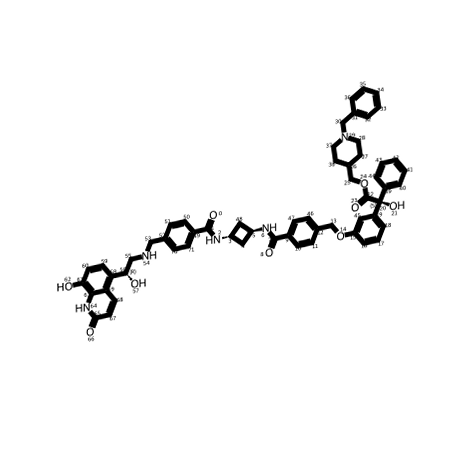 O=C(N[C@H]1C[C@H](NC(=O)c2ccc(COc3cccc([C@](O)(C(=O)OCC4CCN(Cc5ccccc5)CC4)c4ccccc4)c3)cc2)C1)c1ccc(CNC[C@H](O)c2ccc(O)c3[nH]c(=O)ccc23)cc1